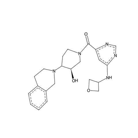 O=C(c1cc(NC2COC2)ncn1)N1CCC(N2CCc3ccccc3C2)[C@H](O)C1